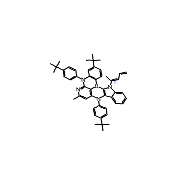 C=C/C=C(\C)n1c2c(c3ccccc31)N(c1ccc(C(C)(C)C)cc1)c1cc(C)nc3c1B2c1ccc(C(C)(C)C)cc1N3c1ccc(C(C)(C)C)cc1